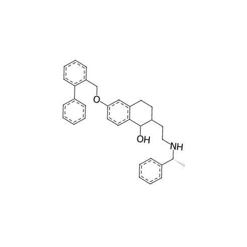 C[C@@H](NCCC1CCc2cc(OCc3ccccc3-c3ccccc3)ccc2C1O)c1ccccc1